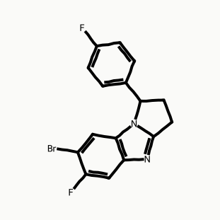 Fc1ccc(C2CCc3nc4cc(F)c(Br)cc4n32)cc1